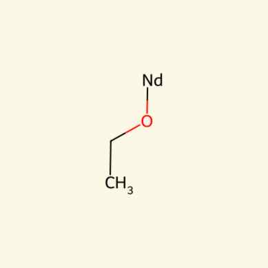 CC[O][Nd]